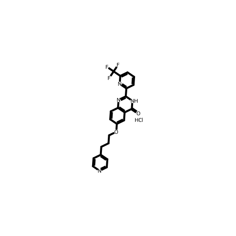 Cl.O=c1[nH]c(-c2cccc(C(F)(F)F)n2)nc2ccc(OCCCc3ccncc3)cc12